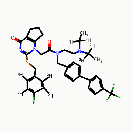 [2H]c1c([2H])c(CSc2nc(=O)c3c(n2CC(=O)N(CCN(C([2H])([2H])C)C([2H])([2H])C)Cc2ccc(-c4ccc(C(F)(F)F)cc4)cc2)CCC3)c([2H])c([2H])c1F